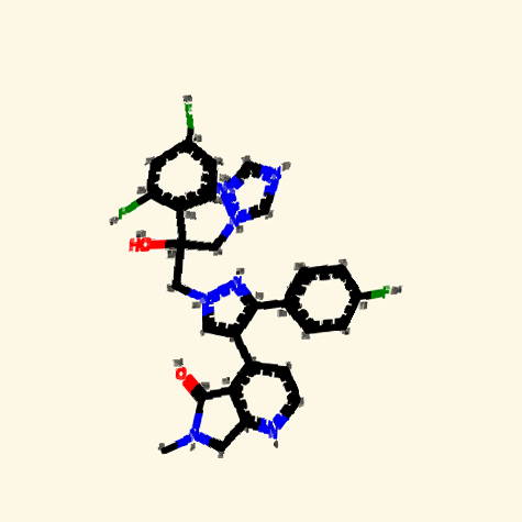 CN1Cc2nccc(-c3cn(CC(O)(Cn4cncn4)c4ccc(F)cc4F)nc3-c3ccc(F)cc3)c2C1=O